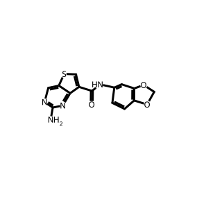 Nc1ncc2scc(C(=O)Nc3ccc4c(c3)OCO4)c2n1